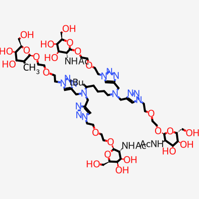 CC(=O)N[C@H]1[C@H](OCCOCCn2cc(CN(CCCCC(N(Cc3cn(CCOCCO[C@@H]4O[C@H](CO)[C@H](O)[C@H](O)C4C)nn3)Cc3cn(CCOCCO[C@@H]4O[C@H](CO)[C@H](O)[C@H](O)[C@H]4NC(C)=O)nn3)C(C)(C)C)Cc3cn(CCOCCOC4O[C@H](CO)[C@H](O)[C@H](O)[C@H]4NC(C)=O)nn3)nn2)O[C@H](CO)[C@H](O)[C@@H]1O